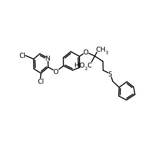 CC(CCSCc1ccccc1)(Oc1ccc(Oc2ncc(Cl)cc2Cl)cc1)C(=O)O